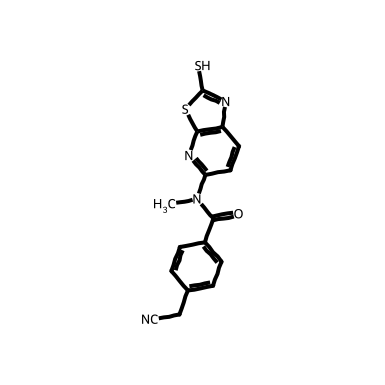 CN(C(=O)c1ccc(CC#N)cc1)c1ccc2nc(S)sc2n1